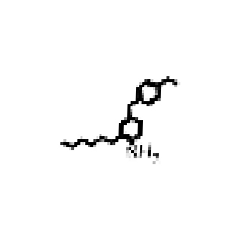 CCCCCCc1cc(Cc2ccc(CC)cc2)ccc1N